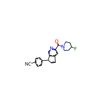 N#Cc1ccc(C2C=Cc3cc(C(=O)N4CCC(F)CC4)ncc32)cc1